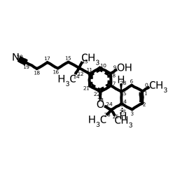 CC1=CC[C@@H]2[C@@H](C1)c1c(O)cc(C(C)(C)CCCCC#N)cc1OC2(C)C